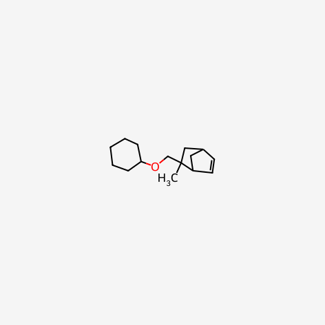 CC1(COC2CCCCC2)CC2C=CC1C2